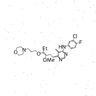 C=c1c(Nc2ccc(F)c(Cl)c2)ncn/c1=C/C/C(OC)=C(\CC)OCCCN1CCOCC1